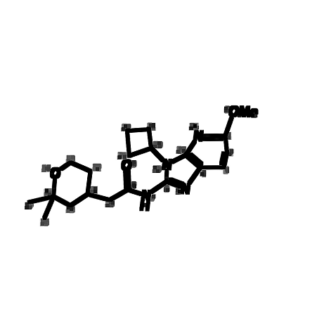 COc1ccc2nc(NC(=O)CC3CCOC(C)(C)C3)n(C3CCC3)c2n1